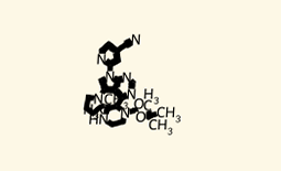 CC(C)(C)OC(=O)N1CCNC(C)(C)C1c1ncnc2c1c(N1CCCC1)cn2-c1cc(C#N)ccn1